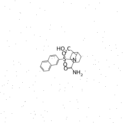 NC(=O)C12CCC(CC1)C(C(=O)O)N2S(=O)(=O)c1ccc2ccccc2c1